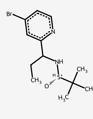 CCC(N[S@@+]([O-])C(C)(C)C)c1cc(Br)ccn1